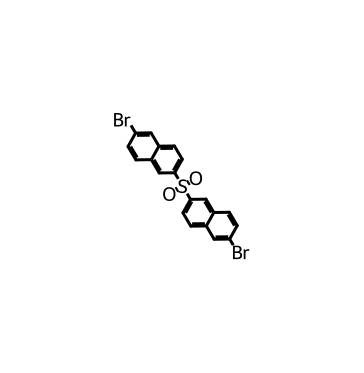 O=S(=O)(c1ccc2cc(Br)ccc2c1)c1ccc2cc(Br)ccc2c1